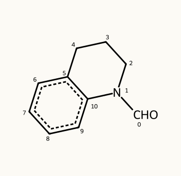 O=CN1CCCc2ccccc21